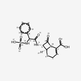 O=C(O)C1=CCS[C@H]2[C@H](NC(=O)C(NS(=O)(=O)O)c3ccccc3)C(=O)N12